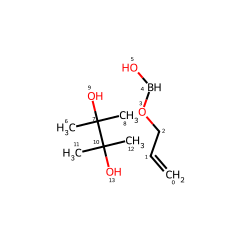 C=CCOBO.CC(C)(O)C(C)(C)O